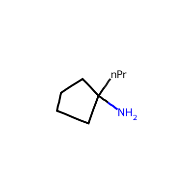 CCCC1(N)CCCC1